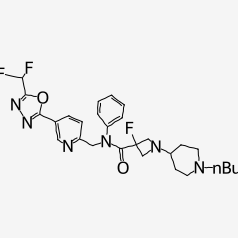 CCCCN1CCC(N2CC(F)(C(=O)N(Cc3ccc(-c4nnc(C(F)F)o4)cn3)c3ccccc3)C2)CC1